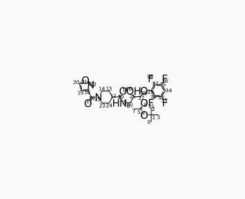 CC(C)(C)OC(=O)C[C@H](NC(=O)C1CCN(C(=O)c2ccon2)CC1)C(O)COc1c(F)c(F)cc(F)c1F